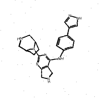 c1cc(-c2cn[nH]c2)ccc1Nc1nc(N2C3CCC2CNC3)nc2c1CNC2